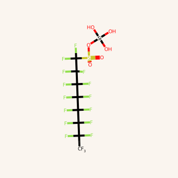 O=S(=O)(O[Si](O)(O)O)C(F)(F)C(F)(F)C(F)(F)C(F)(F)C(F)(F)C(F)(F)C(F)(F)C(F)(F)F